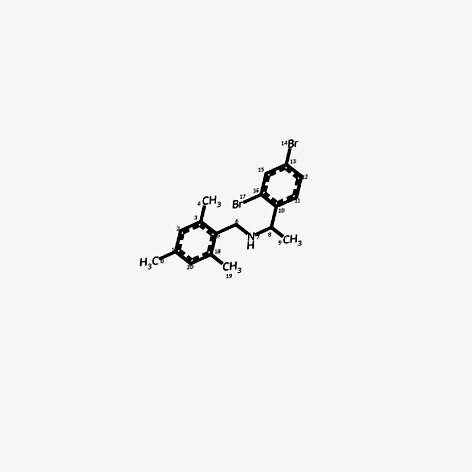 Cc1cc(C)c(CNC(C)c2ccc(Br)cc2Br)c(C)c1